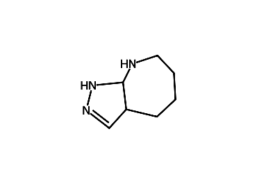 C1=NNC2NCCCCC12